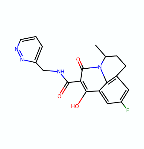 CC1CCc2cc(F)cc3c(O)c(C(=O)NCc4cccnn4)c(=O)n1c23